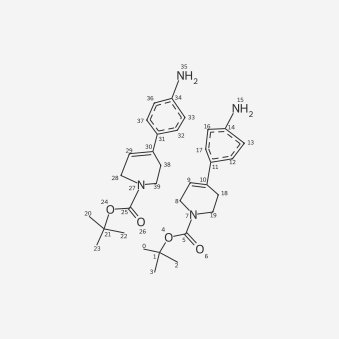 CC(C)(C)OC(=O)N1CC=C(c2ccc(N)cc2)CC1.CC(C)(C)OC(=O)N1CC=C(c2ccc(N)cc2)CC1